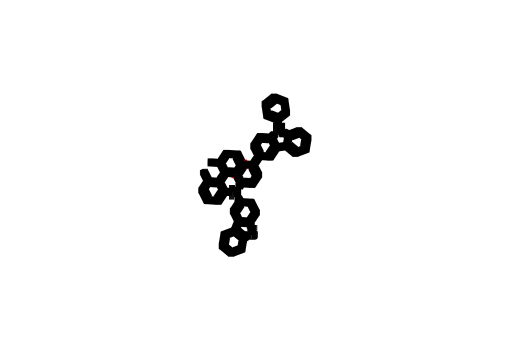 Cc1cccc(N(C2=Cc3c(sc4c3C=CCC4)CC2)c2ccc(-c3ccc4c(c3)c3ccccc3n4C3=CC=CCC3)cc2)c1C1=CC=CCC1C